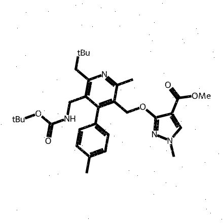 COC(=O)c1cn(C)nc1OCc1c(C)nc(CC(C)(C)C)c(CNC(=O)OC(C)(C)C)c1-c1ccc(C)cc1